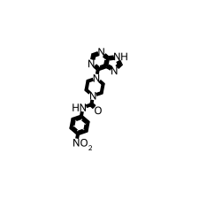 O=C(Nc1ccc([N+](=O)[O-])cc1)N1CCN(c2ncnc3[nH]cnc23)CC1